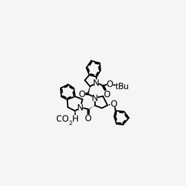 CC(C)(C)OC(=O)N1c2ccccc2C[C@@H]1C(=O)N1C[C@H](Oc2ccccc2)C[C@@H]1C(=O)N1Cc2ccccc2C[C@@H]1C(=O)O